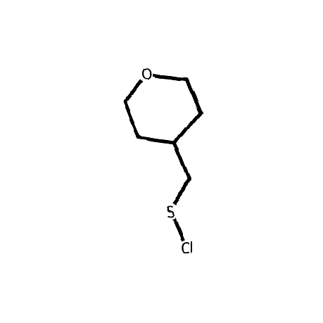 ClSCC1CCOCC1